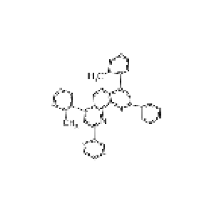 Cc1ccccc1-c1cc(-c2ccccc2)nc2c1ccc1c(-c3ccccc3C)cc(-c3ccccc3)nc12